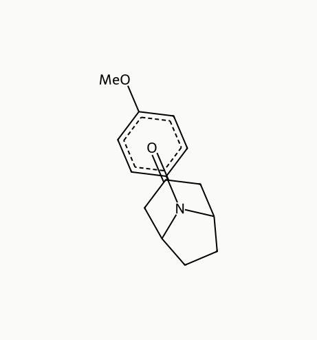 COc1ccc(N2C3CCC2CC(=O)C3)cc1